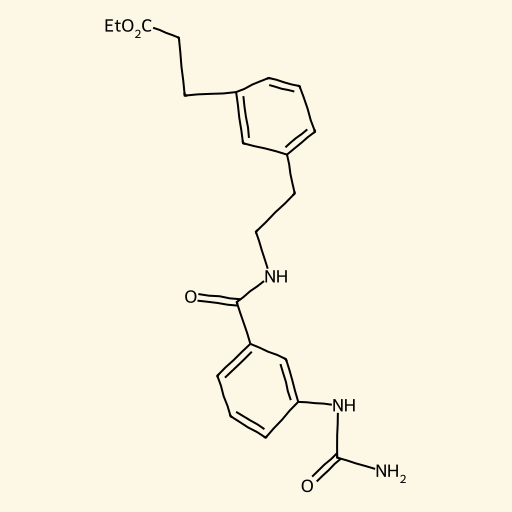 CCOC(=O)CCc1cccc(CCNC(=O)c2cccc(NC(N)=O)c2)c1